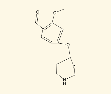 COc1cc(OC2CCNCC2)ccc1C=O